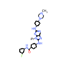 CC(C)n1c(Nc2ccc(C(=O)Nc3cccc(F)c3)cc2)nc2cnc(Nc3ccc(N4CCN(C)CC4)cc3)nc21